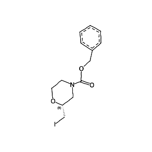 O=C(OCc1ccccc1)N1CCO[C@@H](CI)C1